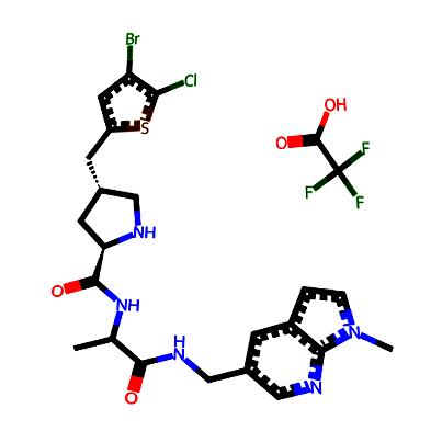 CC(NC(=O)[C@H]1C[C@H](Cc2cc(Br)c(Cl)s2)CN1)C(=O)NCc1cnc2c(ccn2C)c1.O=C(O)C(F)(F)F